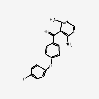 N=C(c1ccc(Oc2ccc(F)cc2)cc1)c1c(N)ncnc1N